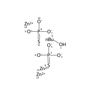 CCCCO.[O-]P([O-])([O-])=S.[O-]P([O-])([O-])=S.[Zn+2].[Zn+2].[Zn+2]